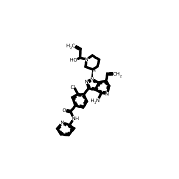 C=Cc1cnc(N)c2c(-c3ccc(C(=O)Nc4ccccn4)cc3Cl)nn([C@@H]3CCCN(C(O)C=C)C3)c12